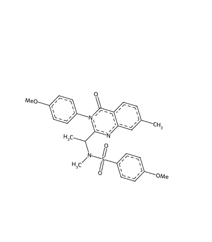 COc1ccc(-n2c(C(C)N(C)S(=O)(=O)c3ccc(OC)cc3)nc3cc(C)ccc3c2=O)cc1